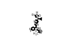 CC[C@H]1CN([C@@H](c2cnn3cc([C@@H](NC(=O)c4nonc4C)C4CCC(F)(F)CC4)nc3c2)C2CC2)C(=O)N1